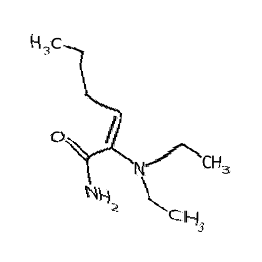 CCC/C=C(\C(N)=O)N(CC)CC